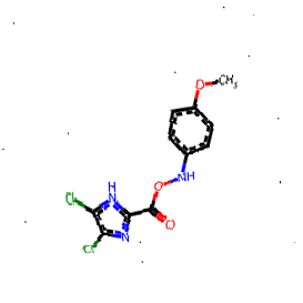 COc1ccc(NOC(=O)c2nc(Cl)c(Cl)[nH]2)cc1